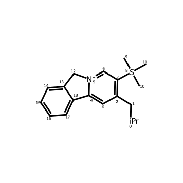 CC(C)Cc1cc2[n+](cc1S(C)(C)C)Cc1ccccc1-2